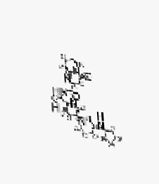 CC(NC(=O)c1cc(=O)n2ccccc2n1)c1ccc(N2CCC[C@@H](NC3CCCC3)C2)cn1